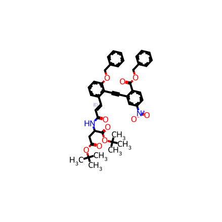 CC(C)(C)OC(=O)CC(NC(=O)/C=C/c1cccc(OCc2ccccc2)c1C#Cc1cc([N+](=O)[O-])ccc1C(=O)OCc1ccccc1)C(=O)OC(C)(C)C